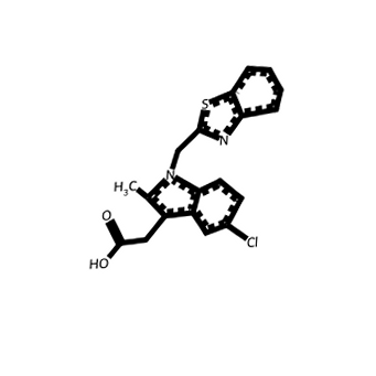 Cc1c(CC(=O)O)c2cc(Cl)ccc2n1Cc1nc2ccccc2s1